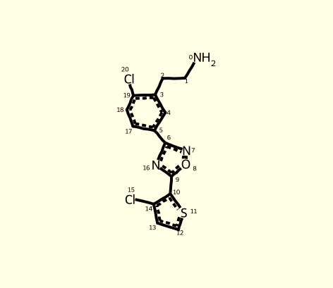 NCCc1cc(-c2noc(-c3sccc3Cl)n2)ccc1Cl